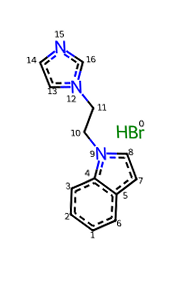 Br.c1ccc2c(c1)ccn2CCn1ccnc1